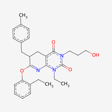 CCc1ccccc1OC1=Nc2c(c(=O)n(CCCO)c(=O)n2CC)CC1Cc1ccc(C)cc1